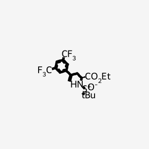 C=C(C[C@H](N[S+]([O-])C(C)(C)C)C(=O)OCC)c1cc(C(F)(F)F)cc(C(F)(F)F)c1